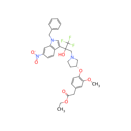 CCOC(=O)Cc1ccc(O[C@@H]2CCN(CC(O)(c3cn(Cc4ccccc4)c4cc([N+](=O)[O-])ccc34)C(F)(F)F)C2)c(OC)c1